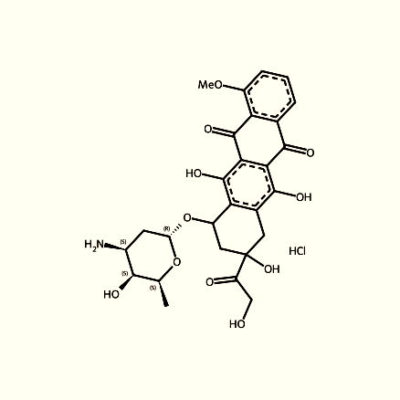 COc1cccc2c1C(=O)c1c(O)c3c(c(O)c1C2=O)CC(O)(C(=O)CO)CC3O[C@H]1C[C@H](N)[C@H](O)[C@H](C)O1.Cl